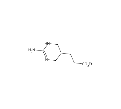 CCOC(=O)CCC1CN=C(N)NC1